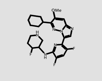 COc1cc2ncc(-c3nc(NC4CNCCC4F)c(F)cc3F)n2nc1C1CCCCC1